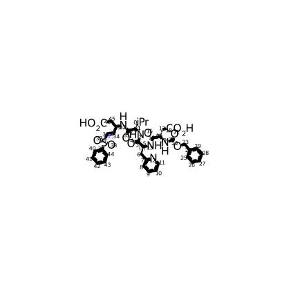 CC(C)[C@H](NC(=O)[C@H](Cc1ccccn1)NC(=O)[C@H](CC(=O)O)NC(=O)OCc1ccccc1)C(=O)NC(/C=C/S(=O)(=O)c1ccccc1)CC(=O)O